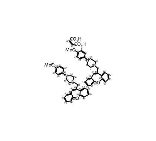 COc1ccc(N2CCN(CC3=Cc4ccccc4Oc4ccccc43)CC2)cc1.COc1ccc(N2CCN(CC3=Cc4ccccc4Oc4ccccc43)CC2)cc1.O=C(O)/C=C\C(=O)O